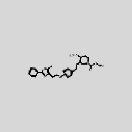 CCOC(=O)C1CCN(C(=O)OC(C)(C)C)CC1CCc1ccc(OCCc2nc(-c3ccccc3)oc2C)cc1